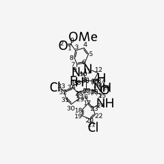 COC(=O)c1ccc2c(c1)nc1n2C[C@@H]2N[C@]3(Cc4ccc(Cl)cc4NC3=O)[C@@H](c3cccc(Cl)c3F)[C@H]12